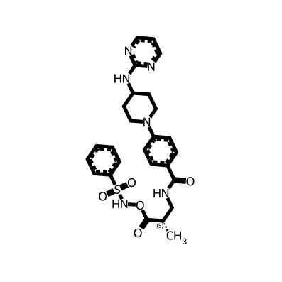 C[C@@H](CNC(=O)c1ccc(N2CCC(Nc3ncccn3)CC2)cc1)C(=O)ONS(=O)(=O)c1ccccc1